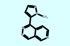 Cn1nccc1-c1nn[c]c2cnccc12